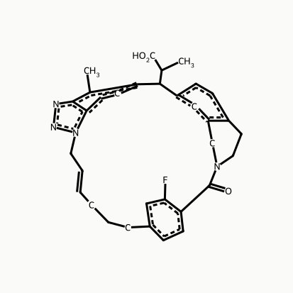 Cc1c2ccc3c1nnn3C/C=C/CCCc1ccc(c(F)c1)C(=O)N1CCc3ccc(cc3C1)C2C(C)C(=O)O